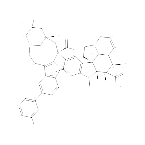 CC[C@]1(O)C[C@H]2CN(CCc3c([nH]c4ccc(-c5cccc(F)c5)cc34)[C@@](C(=O)OC)(c3cc4c(cc3OC)N(C)[C@H]3[C@@](O)(C(=O)OC)[C@H](OC(C)=O)[C@]5(CC)C=CCN6CC[C@]43[C@@H]65)C2)C1